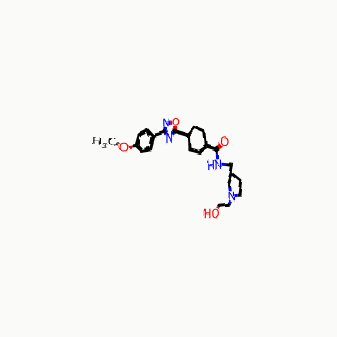 COc1ccc(-c2noc(C3CCC(C(=O)NCC4CCN(CCO)C4)CC3)n2)cc1